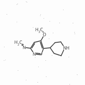 C=Nc1cc(OC)c(C2CCNCC2)cn1